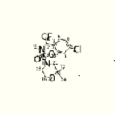 CN(C(c1ccc(Cl)cc1)C(F)(F)F)S(=O)(=O)N1CCOC(C)(C)C1